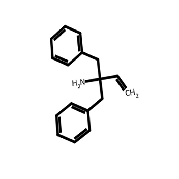 C=CC(N)(Cc1ccccc1)Cc1ccccc1